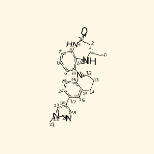 CC1CC(=O)Nc2cccc(N3CCCc4cc(-c5cnn(C)c5)ccc43)c2N1